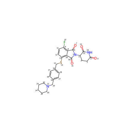 O=C1CCC(N2C(=O)c3c(F)ccc(SCc4ccc(CN5CCCCC5)cc4)c3C2=O)C(=O)N1